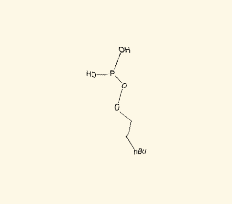 CCCCCCOOP(O)O